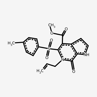 C=CCn1c(S(=O)(=O)c2ccc(C)cc2)c(C(=O)OC)c2cc[nH]c2c1=O